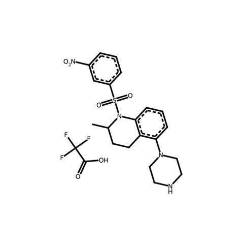 CC1CCc2c(N3CCNCC3)cccc2N1S(=O)(=O)c1cccc([N+](=O)[O-])c1.O=C(O)C(F)(F)F